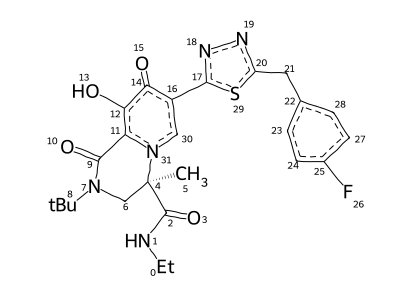 CCNC(=O)[C@@]1(C)CN(C(C)(C)C)C(=O)c2c(O)c(=O)c(-c3nnc(Cc4ccc(F)cc4)s3)cn21